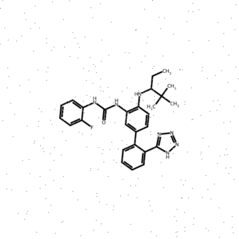 CCC(Nc1ccc(-c2ccccc2-c2nnn[nH]2)cc1NC(=O)Nc1ccccc1F)C(C)(C)C